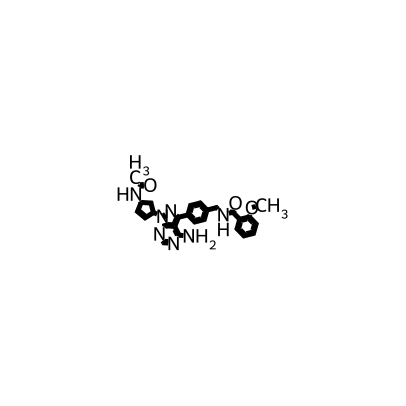 COc1ccccc1C(=O)NCc1ccc(-c2nn(C3C=CC(NC(C)=O)C3)c3ncnc(N)c23)cc1